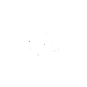 COC(=O)C[C@@]1(CN)C[C@H]2CC[C@H]2C1